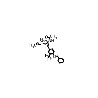 COCOCC(C)(C=Cc1ccc(OCc2ccccc2)c(C(F)(F)F)c1)NC(C)=O